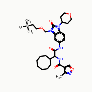 Cc1nocc1C(=O)NC(C(=O)Nc1ccc2c(c1)n(COCC[Si](C)(C)C)c(=O)n2C1CCOCC1)C1CCCCCCC1